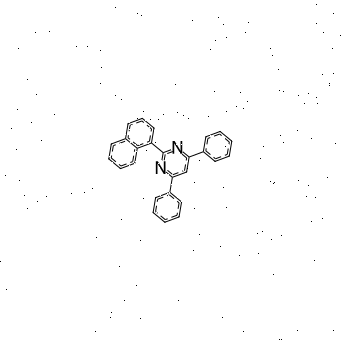 c1ccc(-c2cc(-c3ccccc3)nc(-c3cccc4ccccc34)n2)cc1